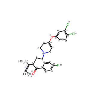 O=C(O)/C=C(/C(=O)O)C(CCN1CC=C(Oc2ccc(Cl)c(Cl)c2)CC1)C(=O)c1ccc(F)cc1